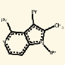 Cc1c(C(C)C)c2c(C(C)C)nccc2n1C(C)C